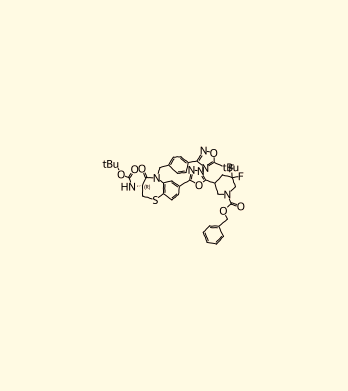 CC(C)(C)OC(=O)N[C@H]1CSc2ccc(-c3nnc(C4CN(C(=O)OCc5ccccc5)CC(F)(F)C4)o3)cc2N(Cc2ccc(-c3noc(C(C)(C)C)n3)cc2)C1=O